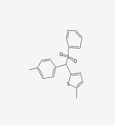 Cc1ccc(C(c2ccc(C)s2)S(=O)(=O)c2ccccc2)cc1